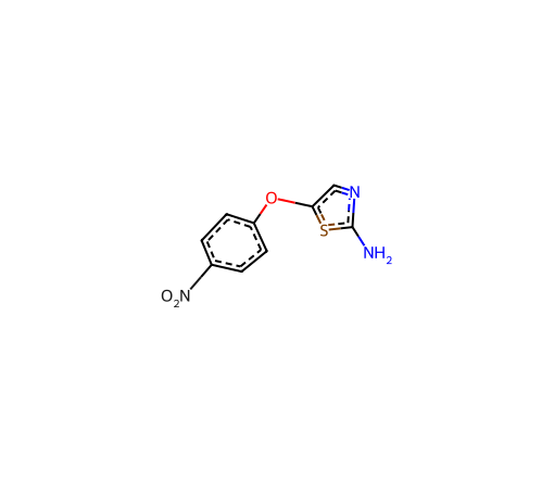 Nc1ncc(Oc2ccc([N+](=O)[O-])cc2)s1